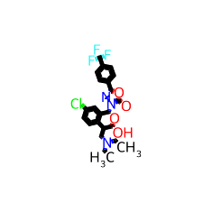 CCN(CC)CC(C(=O)O)c1ccc(Cl)cc1Cn1nc(-c2ccc(C(F)(F)F)cc2)oc1=O